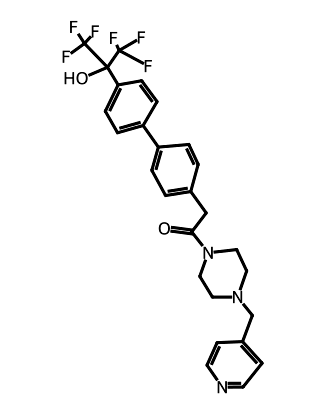 O=C(Cc1ccc(-c2ccc(C(O)(C(F)(F)F)C(F)(F)F)cc2)cc1)N1CCN(Cc2ccncc2)CC1